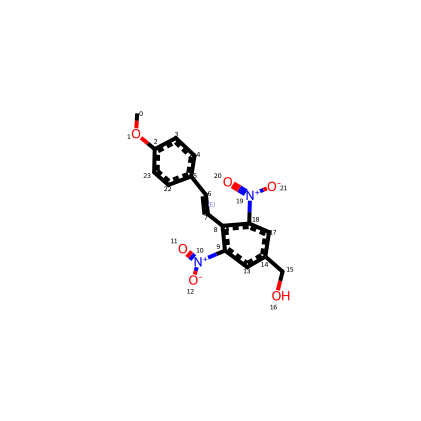 COc1ccc(/C=C/c2c([N+](=O)[O-])cc(CO)cc2[N+](=O)[O-])cc1